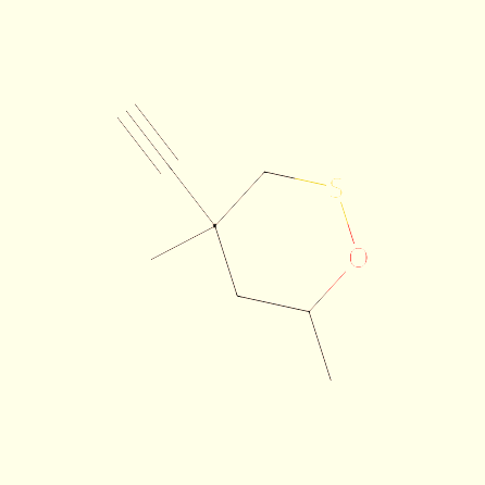 C#CC1(C)CSOC(C)C1